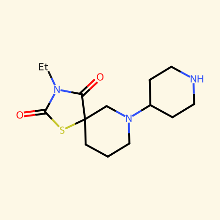 CCN1C(=O)SC2(CCCN(C3CCNCC3)C2)C1=O